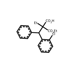 CCOC(=O)C(CC)(C(=O)O)C(c1ccccc1)c1ccccc1Cl